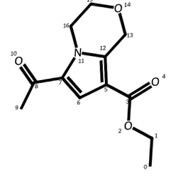 CCOC(=O)c1cc(C(C)=O)n2c1COCC2